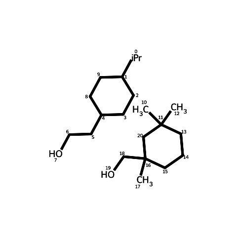 CC(C)C1CCC(CCO)CC1.CC1(C)CCCC(C)(CO)C1